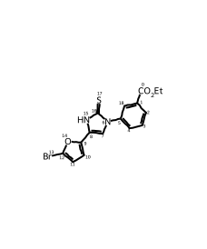 CCOC(=O)c1cccc(-n2cc(-c3ccc(Br)o3)[nH]c2=S)c1